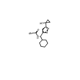 CC(C)(C)C(=O)N[C@H](c1cn(C2(C#N)CC2)nn1)C1CCCCC1